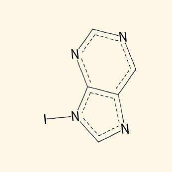 In1cnc2cncnc21